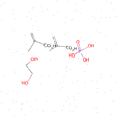 C=C(C)C(=O)O.C=C(C)C(=O)O.O=P(O)(O)O.OCCO